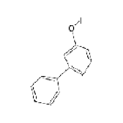 IOc1cccc(-c2ccccc2)c1